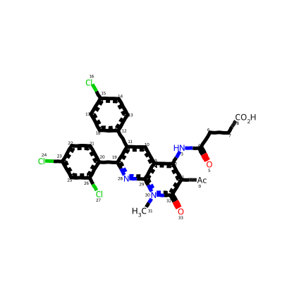 CC(=O)c1c(NC(=O)CCC(=O)O)c2cc(-c3ccc(Cl)cc3)c(-c3ccc(Cl)cc3Cl)nc2n(C)c1=O